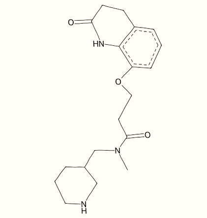 CN(CC1CCCNC1)C(=O)CCOc1cccc2c1NC(=O)CC2